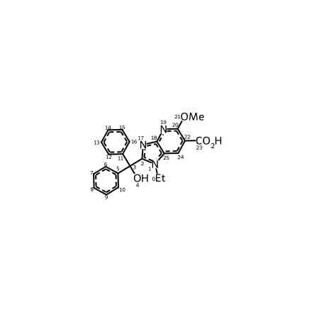 CCn1c(C(O)(c2ccccc2)c2ccccc2)nc2nc(OC)c(C(=O)O)cc21